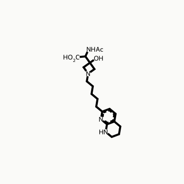 CC(=O)NC(C(=O)O)C1(O)CN(CCCCCc2ccc3c(n2)NCCC3)C1